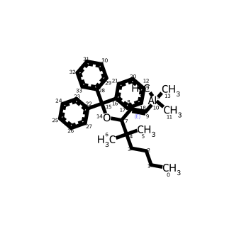 CCCCC(C)(C)C(/C=[CH]/[Al-]([CH3])([CH3])[CH3])OC(c1ccccc1)(c1ccccc1)c1ccccc1